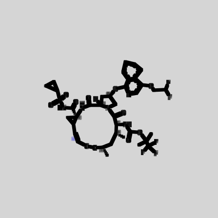 C[C@@H]1CC/C=C\C2C[C@@]2(C(=O)NS(=O)(=O)C2CC2)NC(=O)[C@@H]2C[C@@H](Oc3ncc(OCC(F)F)c4ccccc34)CN2C(=O)[C@@H](NC(=O)OC(C)(C)C(F)(F)F)[C@H](C)C1